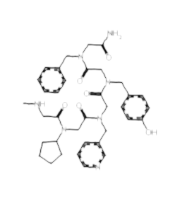 CNCC(=O)N(CC(=O)N(CC(=O)N(CC(=O)N(CC(N)=O)Cc1ccccc1)Cc1ccc(O)cc1)Cc1cccnc1)C1CCCC1